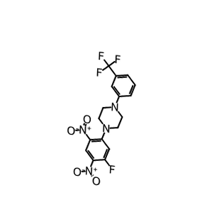 O=[N+]([O-])c1cc([N+](=O)[O-])c(N2CCN(c3cccc(C(F)(F)F)c3)CC2)cc1F